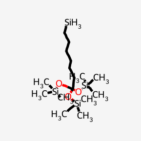 C[Si](C)(C)OC(CCCCCC[SiH3])(O[Si](C)(C)C)O[Si](C)(C)C